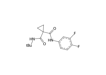 CC(C)(C)NC(=O)C1(C(=O)Nc2ccc(F)c(F)c2)CC1